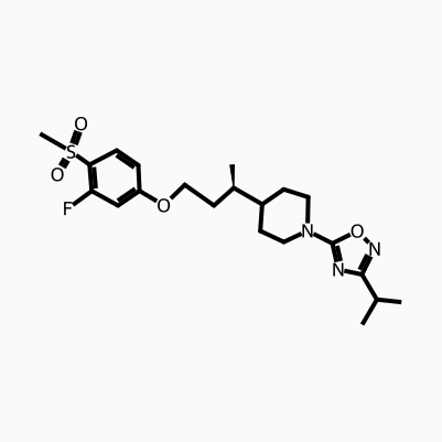 CC(C)c1noc(N2CCC([C@H](C)CCOc3ccc(S(C)(=O)=O)c(F)c3)CC2)n1